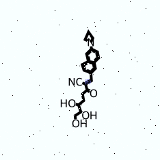 N#C/C(=C\c1ccc2cc(N3CCC3)ccc2c1)C(=O)CCC(O)C(O)CO